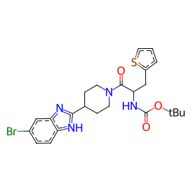 CC(C)(C)OC(=O)NC(Cc1cccs1)C(=O)N1CCC(c2nc3cc(Br)ccc3[nH]2)CC1